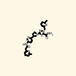 Cc1cccc(CC(=O)Nc2ccc(C3CCN(C4=NN(Cc5cccc(C)n5)C(C(N)=O)S4)C3)nn2)n1